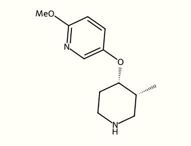 COc1ccc(O[C@H]2CCNC[C@H]2C)cn1